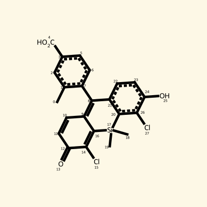 Cc1cc(C(=O)O)ccc1C1=C2C=CC(=O)C(Cl)=C2[Si](C)(C)c2c1ccc(O)c2Cl